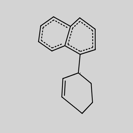 C1=C[C](c2cccc3ccccc23)CCC1